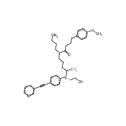 CCCCC(CCCC(C)[C@H](CCO)c1ccc(C#Cc2cccnc2)cc1)C(=O)CCCc1ccc(OC)cc1